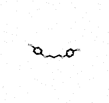 Sc1ccc(OCCCOc2ccc(S)cc2)cc1